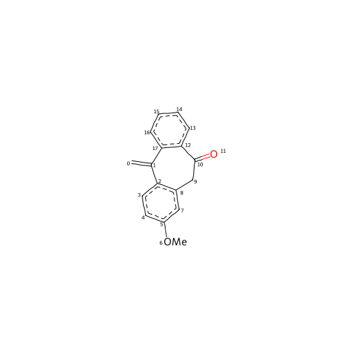 C=C1c2ccc(OC)cc2CC(=O)c2ccccc21